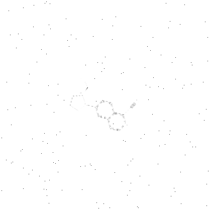 N#Cc1nccc2cc(N3CCC[C@H]3CO)ccc12